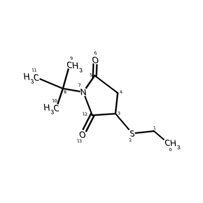 CCSC1CC(=O)N(C(C)(C)C)C1=O